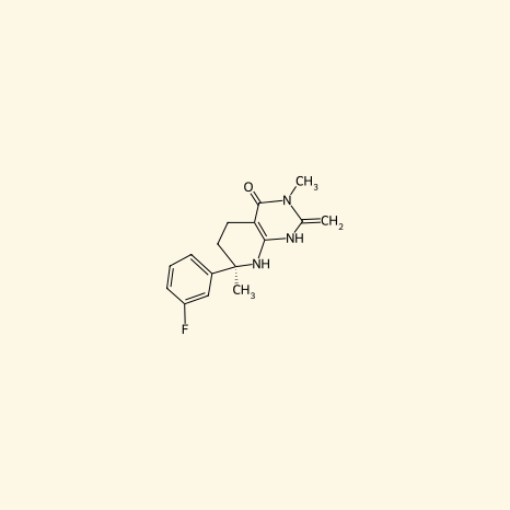 C=C1NC2=C(CC[C@](C)(c3cccc(F)c3)N2)C(=O)N1C